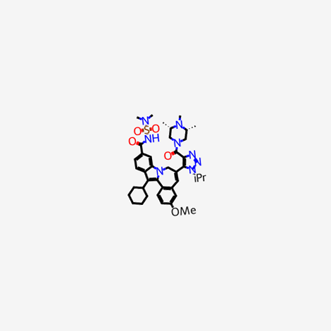 COc1ccc2c(c1)C=C(c1c(C(=O)N3C[C@@H](C)N(C)[C@@H](C)C3)nnn1C(C)C)Cn1c-2c(C2CCCCC2)c2ccc(C(=O)NS(=O)(=O)N(C)C)cc21